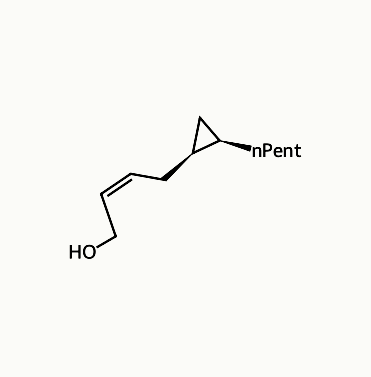 CCCCC[C@@H]1C[C@@H]1C/C=C\CO